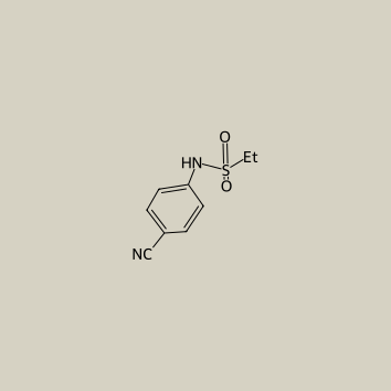 CCS(=O)(=O)Nc1ccc(C#N)cc1